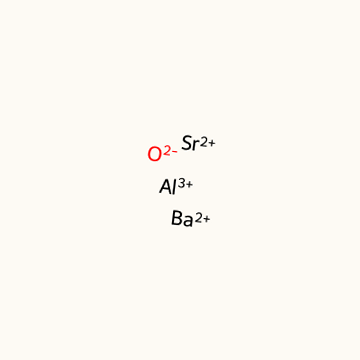 [Al+3].[Ba+2].[O-2].[Sr+2]